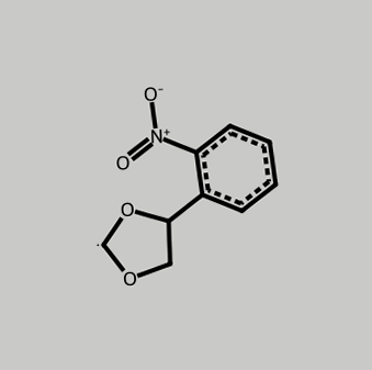 O=[N+]([O-])c1ccccc1C1CO[CH]O1